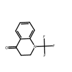 O=C1CCN(C(F)(F)F)c2ccccc21